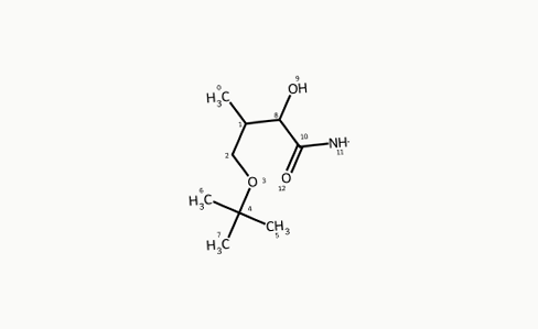 CC(COC(C)(C)C)C(O)C([NH])=O